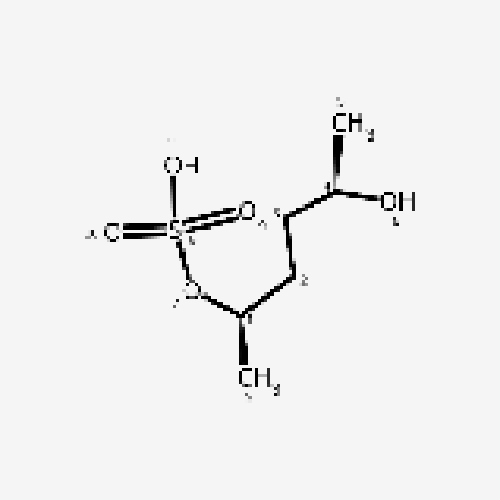 C[C@H](CC[C@@H](C)O)OS(=O)(=O)O